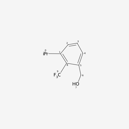 CC(C)c1cccc(CO)c1C(F)(F)F